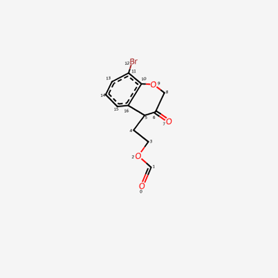 O=COCCC1C(=O)COc2c(Br)cccc21